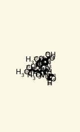 CC(CCC1(C)N=C(N2C[C@H]3C[C@@H]2CO3)C(=O)N1[C@H](CCC(C)(C)C)c1ccc(C(=O)O)cc1)C(C)(C)C